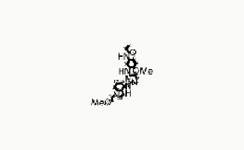 C=CC(=O)Nc1cccc(Nc2nc(Nc3cccc4c3ccn4CCOC)ncc2OC)c1